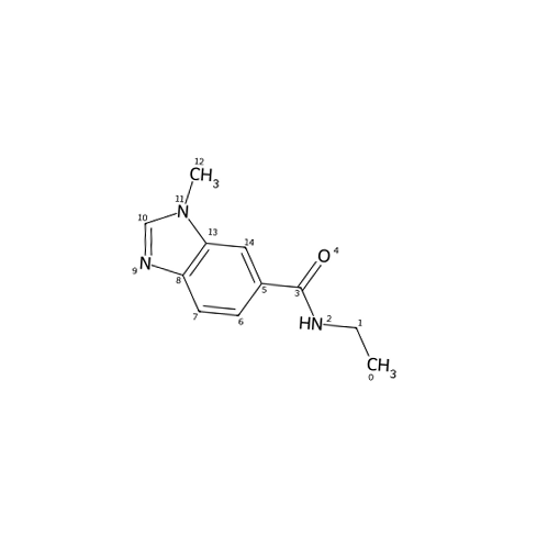 CCNC(=O)c1ccc2ncn(C)c2c1